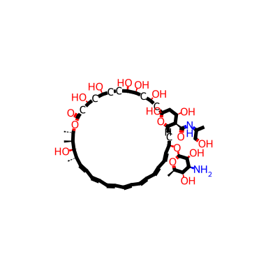 CC(CO)NC(=O)[C@H]1[C@@H]2C[C@@H](O[C@@H]3O[C@H](C)[C@@H](O)[C@H](N)[C@@H]3O)/C=C/C=C/C=C/C=C/C=C/C=C/C=C/[C@H](C)[C@@H](O)[C@@H](C)[C@H](C)OC(=O)C[C@H](O)C[C@H](O)CC[C@@H](O)[C@H](O)C[C@H](O)C[C@](O)(C[C@@H]1O)O2